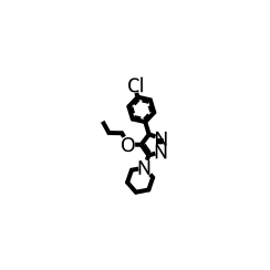 CCCOC1=C(N2CCCCC2)N=NC1c1ccc(Cl)cc1